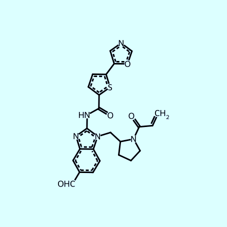 C=CC(=O)N1CCCC1Cn1c(NC(=O)c2ccc(-c3cnco3)s2)nc2cc(C=O)ccc21